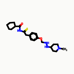 CN1CCC(NNCOc2ccc(CC(=S)NC(=O)C3CCCCC3)cc2)CC1